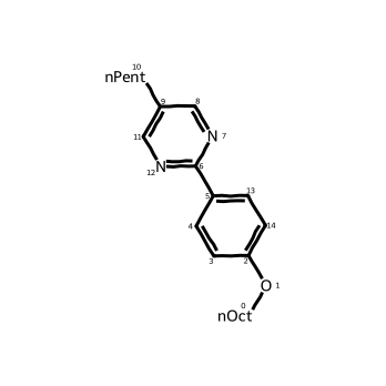 CCCCCCCCOc1ccc(-c2ncc(CCCCC)cn2)cc1